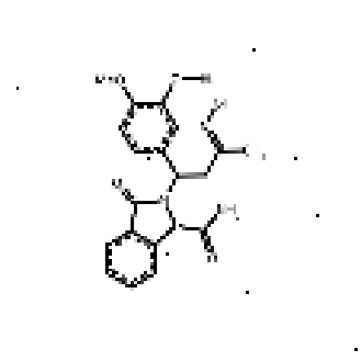 CCOc1cc(C(CC(C)=NO)N2C(=O)c3[c]cccc3C2C(N)=O)ccc1OC